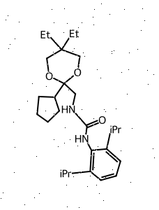 CCC1(CC)COC(CNC(=O)Nc2c(C(C)C)cccc2C(C)C)(C2CCCC2)OC1